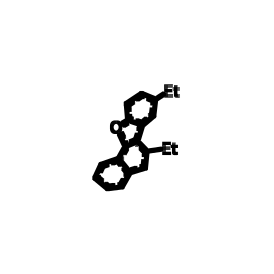 CCc1ccc2oc3c4ccccc4cc(CC)c3c2c1